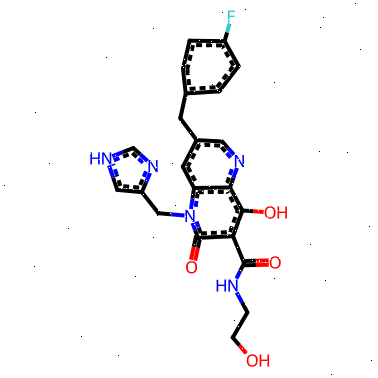 O=C(NCCO)c1c(O)c2ncc(Cc3ccc(F)cc3)cc2n(Cc2c[nH]cn2)c1=O